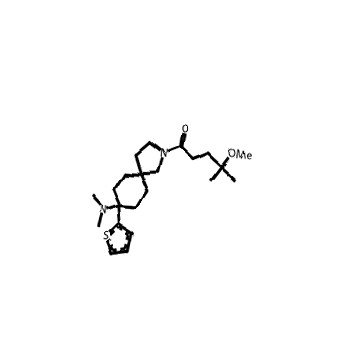 COC(C)(C)CCC(=O)N1CCC2(CCC(c3cccs3)(N(C)C)CC2)C1